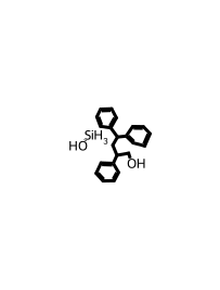 OCC(CC(c1ccccc1)c1ccccc1)c1ccccc1.O[SiH3]